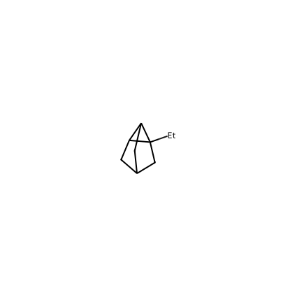 CCC12CC3CC1C2C3